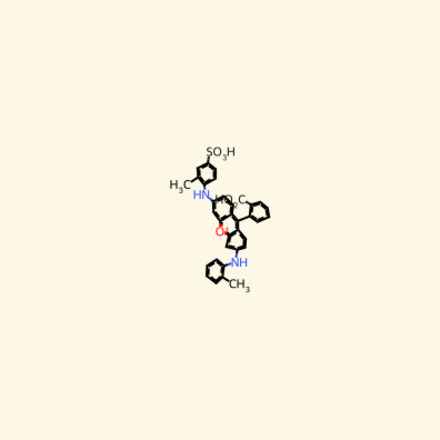 Cc1ccccc1Nc1ccc2c(-c3ccccc3C(=O)O)c3ccc(Nc4ccc(S(=O)(=O)O)cc4C)cc3[o+]c2c1